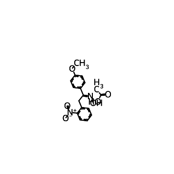 CC(=O)O.COc1ccc(C(Cc2ccccc2[N+](=O)[O-])=NO)cc1